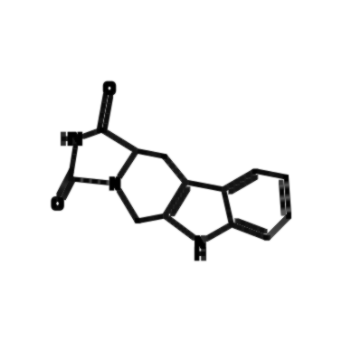 O=C1NC(=O)N2Cc3[nH]c4ccccc4c3CC12